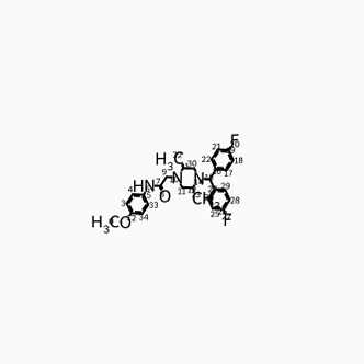 COc1ccc(NC(=O)CN2CC(C)N(C(c3ccc(F)cc3)c3ccc(F)cc3)CC2C)cc1